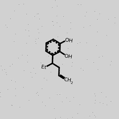 C=CCC(CC)c1cccc(O)c1O